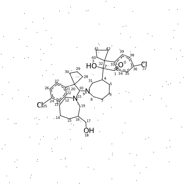 O=CC(O)(C1CCCCN(C(N2CCCCC(CO)C2)C2(c3ccc(Cl)cc3)CCC2)C1)C1(c2ccc(Cl)cc2)CCC1